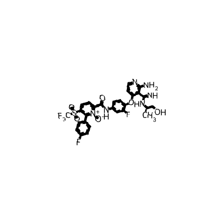 C[C@H](CO)NC(=N)c1c(Oc2ccc(NC(=O)c3ccc(S(=O)(=O)C(F)(F)F)c(-c4ccc(F)cc4)[n+]3[O-])cc2F)ccnc1N